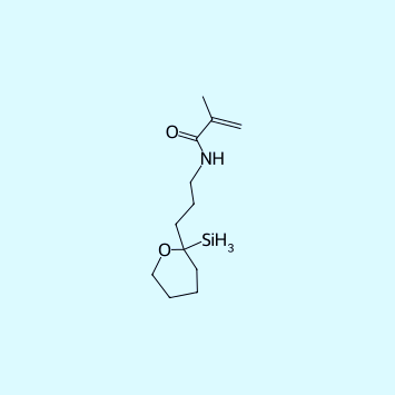 C=C(C)C(=O)NCCCC1([SiH3])CCCCO1